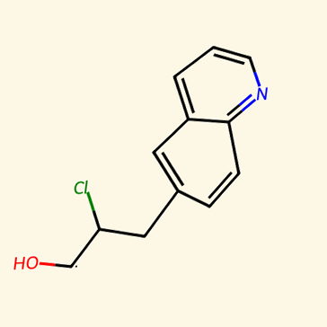 O[CH]C(Cl)Cc1ccc2ncccc2c1